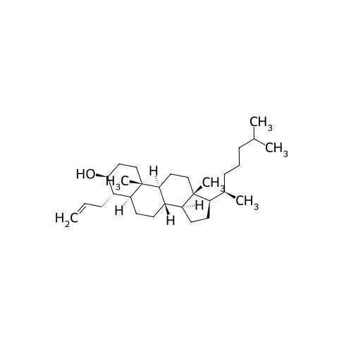 C=CC[C@@H]1[C@@H](O)CC[C@@]2(C)[C@H]1CC[C@@H]1[C@@H]2CC[C@]2(C)[C@@H]([C@H](C)CCCC(C)C)CC[C@@H]12